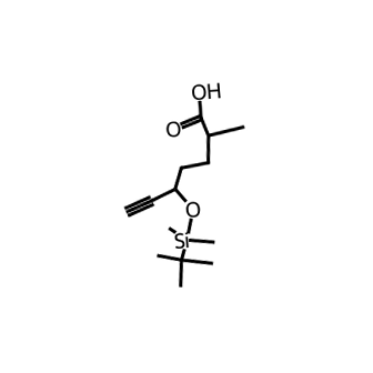 C#CC(CCC(C)C(=O)O)O[Si](C)(C)C(C)(C)C